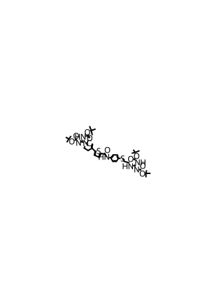 CC(C)(C)OC(=O)/N=C(/NCCSc1ccc(NC(=O)c2ccc(C3=CCN(/C(=N/C(=O)OC(C)(C)C)NC(=O)OC(C)(C)C)CC3)s2)cc1)NC(=O)OC(C)(C)C